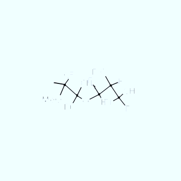 CCC(C)(F)C(F)(C(F)(F)F)C(F)(F)OC(C)(CC)C(F)(OC)C(F)(F)F